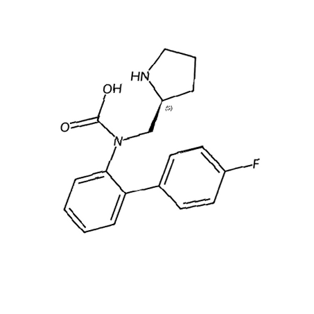 O=C(O)N(C[C@@H]1CCCN1)c1ccccc1-c1ccc(F)cc1